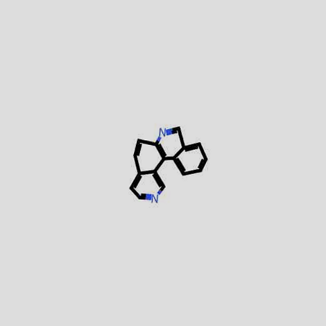 c1ccc2c(c1)cnc1ccc3ccncc3c12